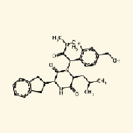 CC(C)CC1C(=O)NC(C2Cc3ccccc3C2)C(=O)N1C(C(=O)N(C)C)c1ccc(CO)cc1F